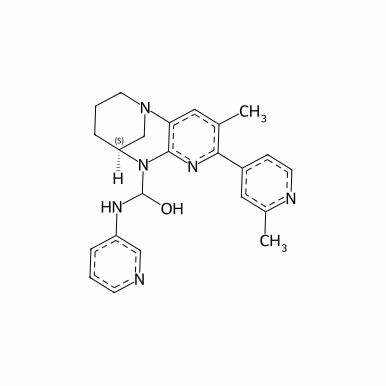 Cc1cc(-c2nc3c(cc2C)N2CCC[C@@H](C2)N3C(O)Nc2cccnc2)ccn1